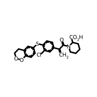 C=C(C(=O)N1CCCCC1C(=O)O)c1ccc(Sc2ccc3c(c2)CCOO3)c(Cl)c1